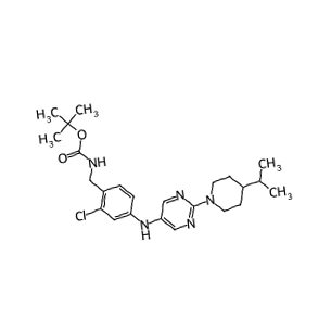 CC(C)C1CCN(c2ncc(Nc3ccc(CNC(=O)OC(C)(C)C)c(Cl)c3)cn2)CC1